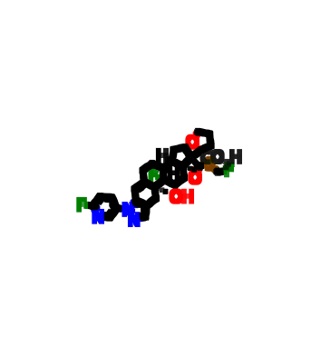 C[C@]12Cc3cnn(-c4ccc(F)nc4)c3C=C1CC[C@H]1[C@@H]3CC[C@](C(=O)SCF)([C@@]4(C(=O)O)CCCO4)[C@@]3(C)C[C@H](O)[C@@]12F